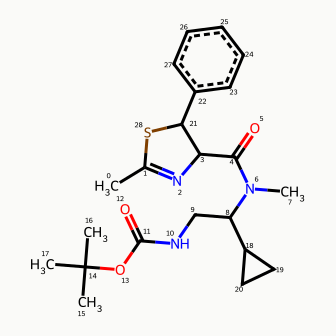 CC1=NC(C(=O)N(C)C(CNC(=O)OC(C)(C)C)C2CC2)C(c2ccccc2)S1